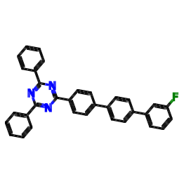 Fc1cccc(-c2ccc(-c3ccc(-c4nc(-c5ccccc5)nc(-c5ccccc5)n4)cc3)cc2)c1